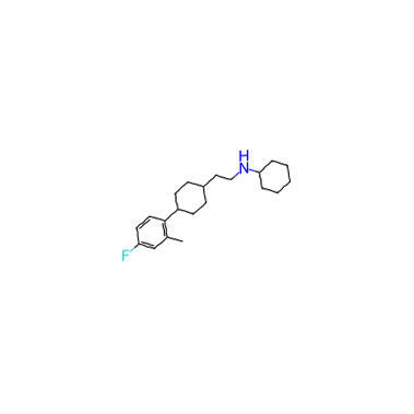 Cc1cc(F)ccc1C1CCC(CCNC2CCCCC2)CC1